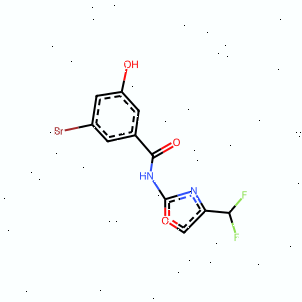 O=C(Nc1nc(C(F)F)co1)c1cc(O)cc(Br)c1